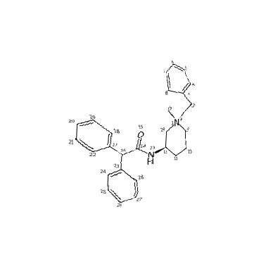 C[N+]1(Cc2ccccc2)CCC[C@@H](NC(=O)C(c2ccccc2)c2ccccc2)C1